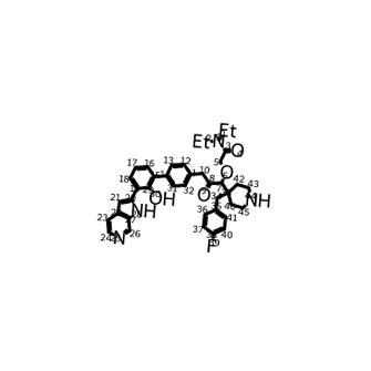 CCN(CC)C(=O)COC(C(=O)Cc1ccc(-c2cccc(-c3cc4ccncc4[nH]3)c2O)cc1)C1(Cc2ccc(F)cc2)CCNCC1